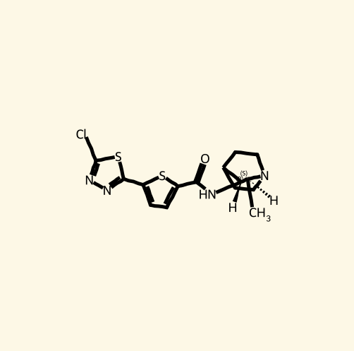 C[C@H]1[C@H](NC(=O)c2ccc(-c3nnc(Cl)s3)s2)C2CCN1CC2